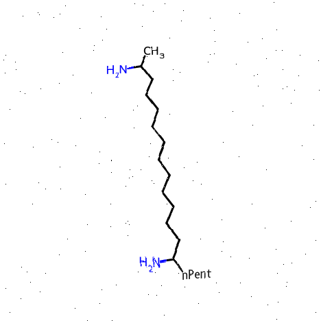 CCCCCC(N)CCCCCCCCCCCC(C)N